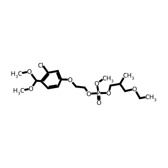 CCOCC(C)COP(=O)(OC)OCCOc1ccc(C(OC)OC)c(Cl)c1